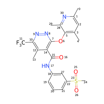 Cc1cc(C)c(Oc2nnc(C(F)(F)F)c(C)c2C(=O)Nc2cccc(S(C)(=O)=O)c2)c(C)n1